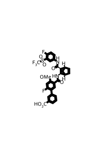 COc1cc(F)c(-c2cccc(C(=O)O)c2)cc1C(=O)N[C@H]1[C@@H](C(=O)Nc2ccc(F)c(S(=O)(=O)C(F)(F)F)c2)[C@@H]2C=C[C@H]1C2